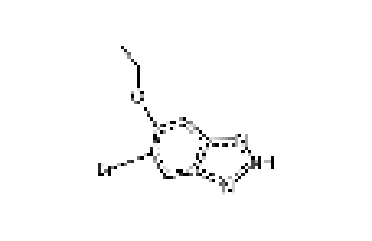 CCOc1cc2n[nH]nc2cc1Br